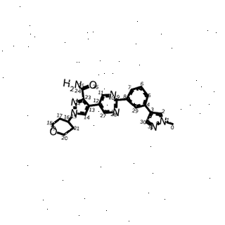 Cn1cc(-c2cccc(-c3ncc(-c4cn(C5CCOCC5)nc4C(N)=O)cn3)c2)cn1